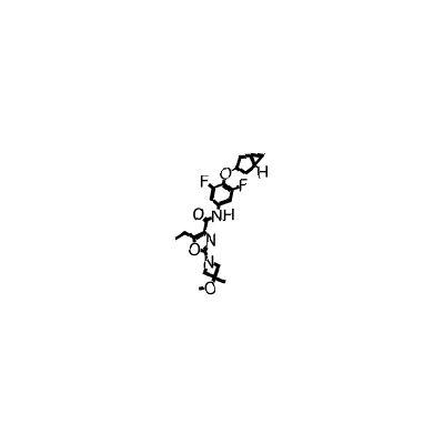 CCc1oc(N2CC(C)(OC)C2)nc1C(=O)Nc1cc(F)c(O[C@H]2CC3C[C@H]3C2)c(F)c1